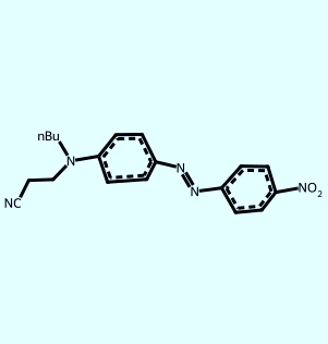 CCCCN(CCC#N)c1ccc(N=Nc2ccc([N+](=O)[O-])cc2)cc1